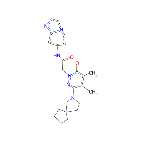 Cc1c(N2CCC3(CCCC3)C2)nn(CC(=O)Nc2ccn3ccnc3c2)c(=O)c1C